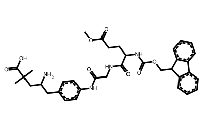 COC(=O)CCC(NC(=O)OCC1c2ccccc2-c2ccccc21)C(=O)NCC(=O)Nc1ccc(CC(N)CC(C)(C)C(=O)O)cc1